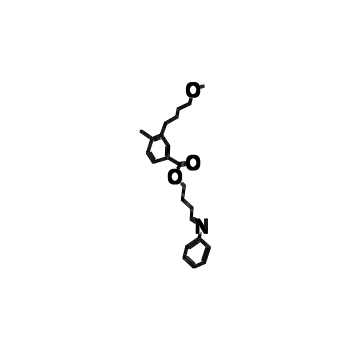 COCCCCc1cc(C(=O)OCCCC=Nc2ccccc2)ccc1C